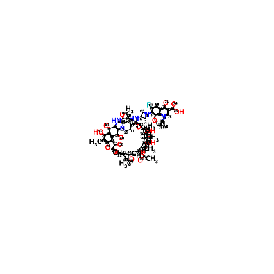 COc1c(N2CC(NC(=O)C3CCN(C4=C5NC(=O)/C(C)=C\C=C\[C@H](C)[C@H](O)[C@@H](C)[C@@H](O)[C@@H](C)[C@H](OC(C)=O)C[C@@H](OC)/C=C/O[C@@]6(C)Oc7c(C)c(O)c(c(c7C6=O)C4=O)C5=O)CC3)C2)c(F)cc2c(=O)c(C(=O)O)cn(C3CC3)c12